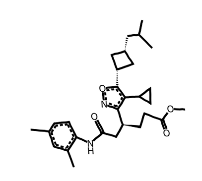 COC(=O)CC[C@@H](CC(=O)Nc1ccc(C)cc1C)c1noc([C@H]2C[C@@H](CC(C)C)C2)c1C1CC1